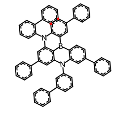 c1ccc(-c2cccc(N3c4cc(-c5ccccc5)ccc4B4c5cc(-c6ccccc6)ccc5N(c5ccccc5-c5ccccc5)c5cc(-c6ccccc6)cc3c54)c2)cc1